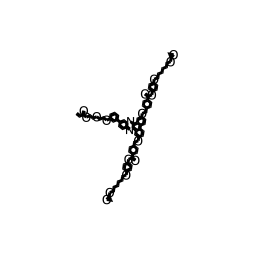 C=CC(=O)OCCOCCOc1cccc(-c2ccc3nc4c5cc(OCC6CCC(C(=O)Oc7ccc(OCCCCCCOC8CO8)cc7)CC6)ccc5c5ccc(OCC6CCC(C(=O)Oc7ccc(OCCCCCCOC8CO8)cc7)CC6)cc5c4nc3c2)c1